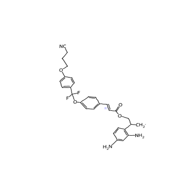 [CH2]C(COC(=O)/C=C/c1ccc(OC(F)(F)c2ccc(OCCCC#N)cc2)cc1)c1ccc(N)cc1N